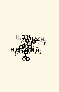 Cc1cc(-c2coc3ccccc23)cc(C)c1N1c2cc(C(C)(C)C)cc3c2B(c2cc(C(C)(C)C)ccc2N3c2ccc(C(C)(C)C)cc2)c2oc3ccc(C(C)(C)C)cc3c21